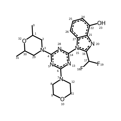 CC1CN(c2nc(N3CCOCC3)nc(-n3c(C(F)F)nc4c(O)cccc43)n2)CC(C)O1